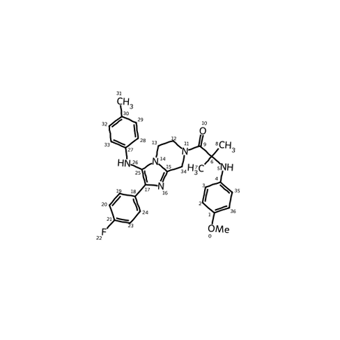 COc1ccc(NC(C)(C)C(=O)N2CCn3c(nc(-c4ccc(F)cc4)c3Nc3ccc(C)cc3)C2)cc1